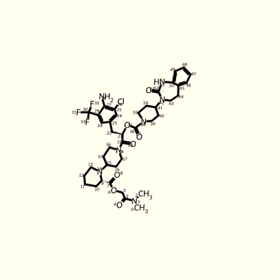 CN(C)C(=O)COC(=O)[C@@H]1CCCCN1C1CCN(C(=O)[C@@H](Cc2cc(Cl)c(N)c(C(F)(F)F)c2)OC(=O)N2CCC(N3CCc4ccccc4NC3=O)CC2)CC1